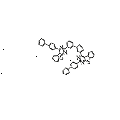 c1ccc(-c2ccc(-c3nc(-c4cccc(-c5cccc(-c6nc(-c7ccc(-c8ccccc8)cc7)c7c(n6)sc6ccccc67)c5)c4)c4c(n3)sc3ccccc34)cc2)cc1